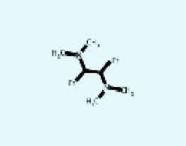 CC(C)C(C(C(C)C)N(C)C)N(C)C